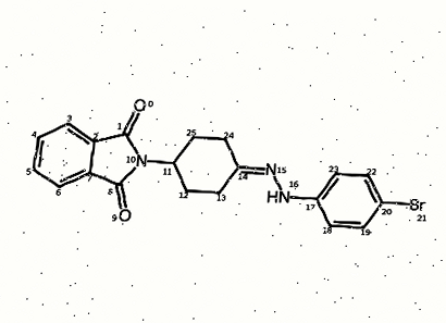 O=C1c2ccccc2C(=O)N1C1CCC(=NNc2ccc(Br)cc2)CC1